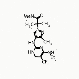 CCNC1=C(C(F)(F)F)CNC(Nc2cn(C(C)(C)C(=O)NC)nc2C)=N1